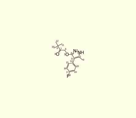 Cc1[nH]nc(OCC(=O)C(C)(C)C)c1-c1ccc(F)cc1